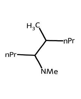 CCCC(C)C(CCC)NC